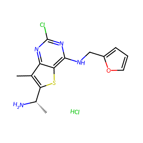 Cc1c([C@H](C)N)sc2c(NCc3ccco3)nc(Cl)nc12.Cl